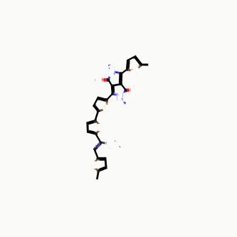 Cc1ccc(/C=C(\C#N)c2ccc(-c3ccc(C4=C5C(=O)N(C)C(c6ccc(C)s6)=C5C(=O)N4C)s3)s2)s1